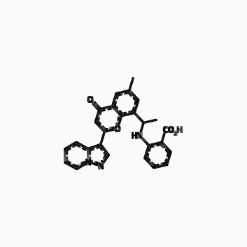 Cc1cc(C(C)Nc2ccccc2C(=O)O)c2oc(-c3cnn4ccccc34)cc(=O)c2c1